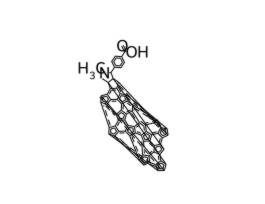 CN1CC23c4c5c6c7c8c9c(c%10c%11c2c2c%12c4c4c%13c5c5c7c7c8c8c%14c9c%10c9c%10c%11c2c2c%11c%12c4c4c%12c%13c5c5c7c7c8c8c%14c9c9c%10c2c2c%11c4c4c%12c5c7c5c8c9c2c45)C63C1c1ccc(C(=O)O)cc1